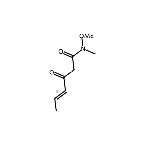 C/C=C/C(=O)CC(=O)N(C)OC